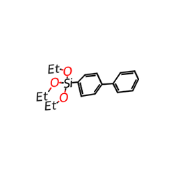 CCO[Si](OCC)(OCC)c1ccc(-c2ccccc2)cc1